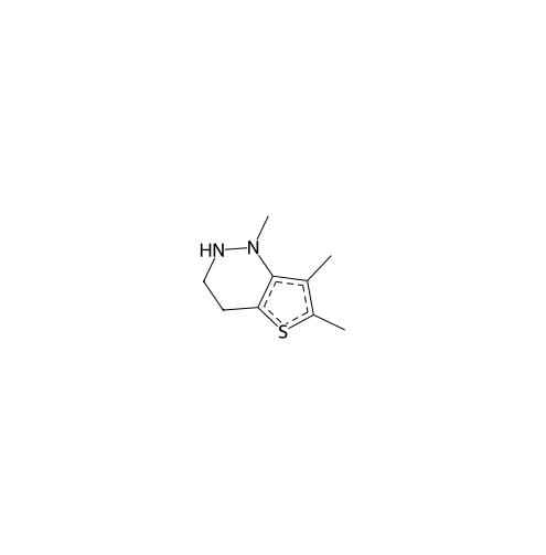 Cc1sc2c(c1C)N(C)NCC2